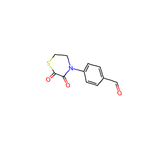 O=Cc1ccc(N2CCSC(=O)C2=O)cc1